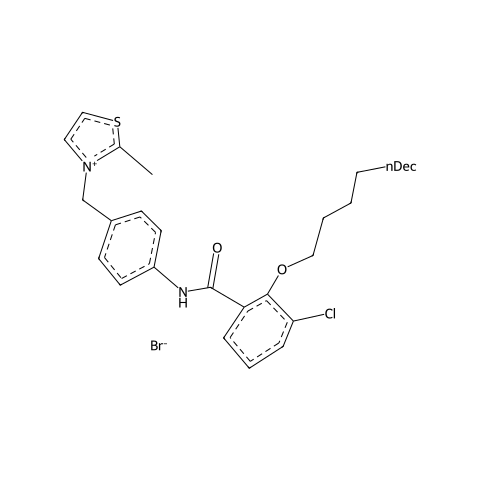 CCCCCCCCCCCCCCOc1c(Cl)cccc1C(=O)Nc1ccc(C[n+]2ccsc2C)cc1.[Br-]